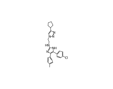 Cc1ccc(-c2nc(NCCn3cc(C4CCCC4)nn3)[nH]c2-c2ccc(Cl)cc2)cc1